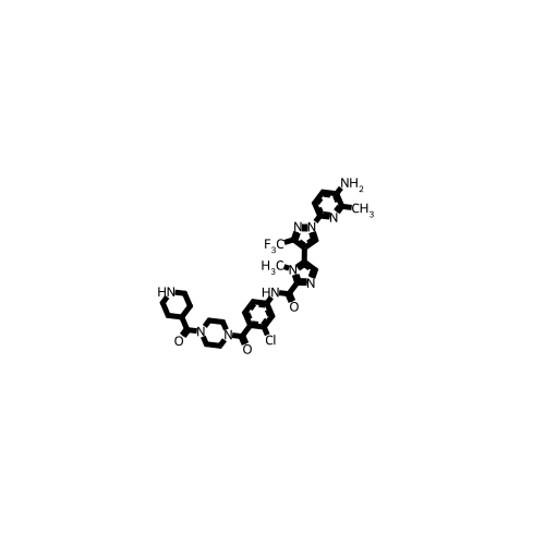 Cc1nc(-n2cc(-c3cnc(C(=O)Nc4ccc(C(=O)N5CCN(C(=O)C6CCNCC6)CC5)c(Cl)c4)n3C)c(C(F)(F)F)n2)ccc1N